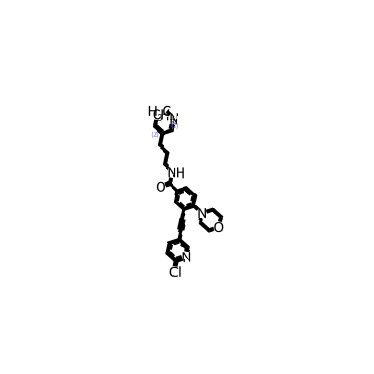 C/C=C(\C=N/C)CCCNC(=O)c1ccc(N2CCOCC2)c(C#Cc2ccc(Cl)nc2)c1